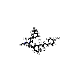 C=C/C=C/C(=N\C(=N)c1cccc(C(F)(F)F)n1)Nc1ccnc(NC(=O)CCN2CCC(O)CC2)c1